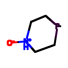 [O-][NH+]1CC[P]CC1